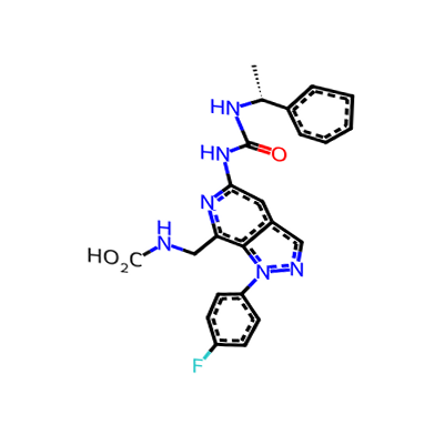 C[C@@H](NC(=O)Nc1cc2cnn(-c3ccc(F)cc3)c2c(CNC(=O)O)n1)c1ccccc1